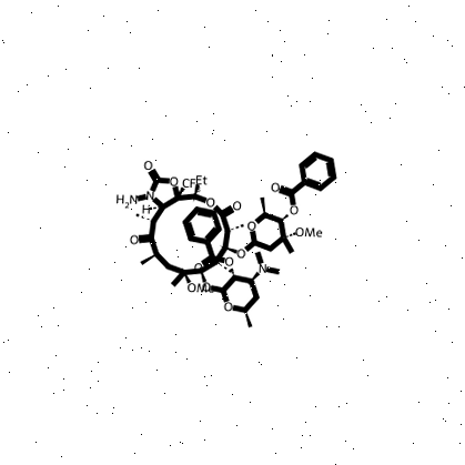 CC[C@H]1OC(=O)[C@H](C)[C@@H](OC2C[C@@](C)(OC)[C@@H](OC(=O)c3ccccc3)[C@H](C)O2)[C@H](C)[C@@H](OC2O[C@H](C)C[C@H](N(C)C)[C@H]2OC(=O)c2ccccc2)[C@@](C)(OC)C[C@@H](C)C(=O)[C@H](C)[C@H]2N(N)C(=O)O[C@]12C(F)(F)F